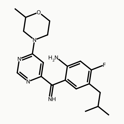 CC(C)Cc1cc(C(=N)c2cc(N3CCOC(C)C3)ncn2)c(N)cc1F